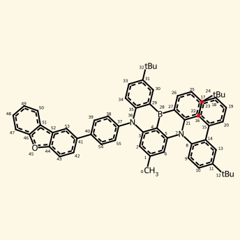 Cc1cc2c3c(c1)N(c1ccc(C(C)(C)C)cc1-c1ccccc1)c1cc(C(C)(C)C)ccc1B3c1cc(C(C)(C)C)ccc1N2c1ccc(-c2ccc3oc4ccccc4c3c2)cc1